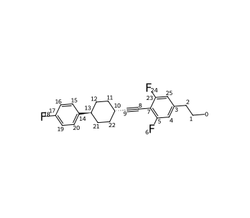 CCCc1cc(F)c(C#C[C@H]2CC[C@H](c3ccc(F)cc3)CC2)c(F)c1